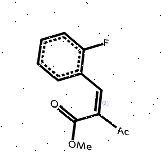 COC(=O)/C(=C\c1ccccc1F)C(C)=O